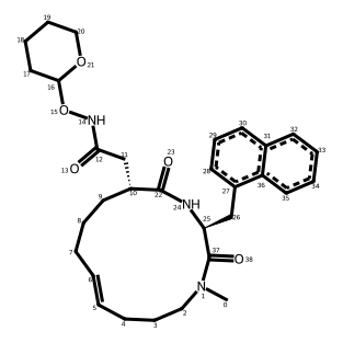 CN1CCC/C=C/CCC[C@H](CC(=O)NOC2CCCCO2)C(=O)N[C@@H](Cc2cccc3ccccc23)C1=O